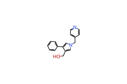 OCc1cn(Cc2ccncc2)cc1-c1ccccc1